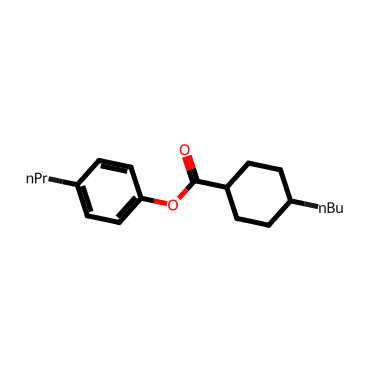 CCCCC1CCC(C(=O)Oc2ccc(CCC)cc2)CC1